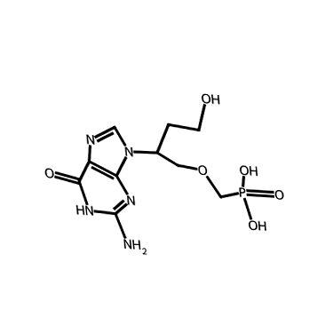 Nc1nc2c(ncn2C(CCO)COCP(=O)(O)O)c(=O)[nH]1